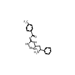 CC(C)(C)N/C(=N/C(=O)c1ccc(C(F)(F)F)cc1)NC(N)CC(N)c1ccccc1